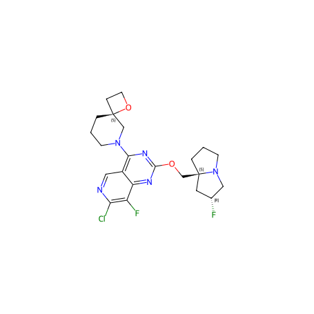 Fc1c(Cl)ncc2c(N3CCC[C@]4(CCO4)C3)nc(OC[C@@]34CCCN3C[C@H](F)C4)nc12